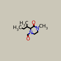 CCC(C)C1C(=O)N(C)CCN1C=O